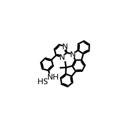 CC1(C)c2ccccc2-c2ccc3c4ccccc4n(-c4nccc(-c5cccc(NS)c5)n4)c3c21